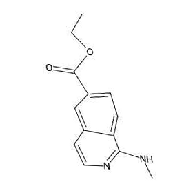 CCOC(=O)c1ccc2c(NC)nccc2c1